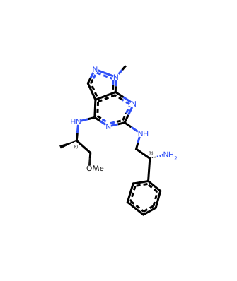 COC[C@@H](C)Nc1nc(NC[C@H](N)c2ccccc2)nc2c1cnn2C